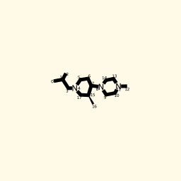 CC(C)CN1CCC(N2CCN(C)CC2)[C@@H](C)C1